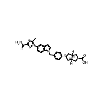 Cc1nc(C(N)=O)nn1-c1ccc2c(ccn2Cc2ccc([C@@H]3C[C@@H]4CN(C(=O)O)C[C@@H]4C3)cc2)c1